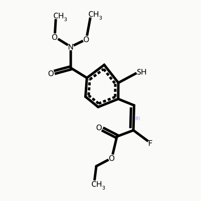 CCOC(=O)/C(F)=C\c1ccc(C(=O)N(OC)OC)cc1S